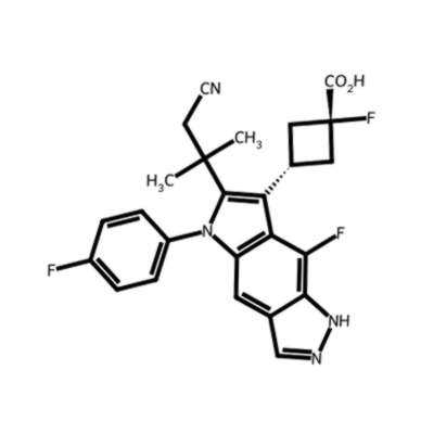 CC(C)(CC#N)c1c([C@H]2C[C@](F)(C(=O)O)C2)c2c(F)c3[nH]ncc3cc2n1-c1ccc(F)cc1